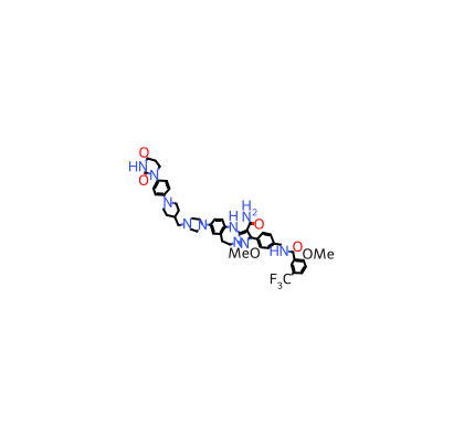 COc1ccc(C(F)(F)F)cc1C(=O)NCc1ccc(-c2nn3c(c2C(N)=O)Nc2ccc(N4CCN(CC5CCN(c6ccc(N7CCC(=O)NC7=O)cc6)CC5)CC4)cc2CC3)c(OC)c1